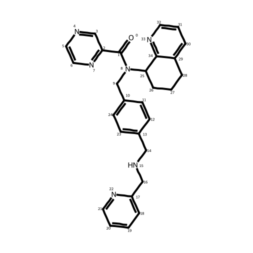 O=C(c1cnccn1)N(Cc1ccc(CNCc2ccccn2)cc1)C1CCCc2cccnc21